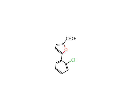 O=[C]c1ccc(-c2ccccc2Cl)o1